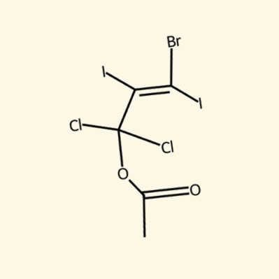 CC(=O)OC(Cl)(Cl)C(I)=C(Br)I